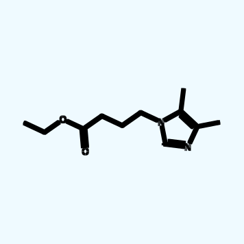 CCOC(=O)CCCn1[c]nc(C)c1C